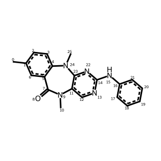 Cc1ccc2c(c1)C(=O)N(C)c1cnc(Nc3ccccc3)nc1N2C